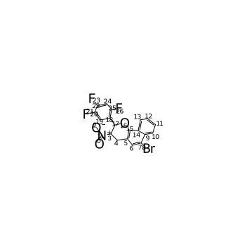 O=[N+]([O-])C1Cc2cc(Br)c3ccccc3c2OC1c1cc(F)c(F)cc1F